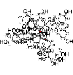 O=C1OC2(c3ccc(O)cc3Oc3cc(O)ccc32)c2cccc([C@]3(Oc4ccc5c(c4)Oc4cc(O[C@@]6(c7cccc8c7C(=O)OC87c8ccc(O)cc8Oc8cc(O)ccc87)O[C@H](CO)[C@H](O)[C@H](O)[C@H]6O)ccc4C54OC(=O)c5c4cccc5[C@]4(O)O[C@H](CO)[C@H](O)[C@H](O)[C@H]4O)O[C@H](CO)[C@H](O)[C@H](O)[C@H]3O)c21